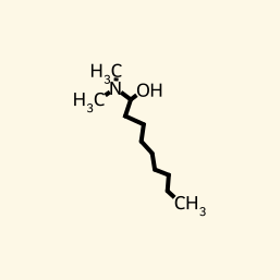 CCCCCCCCC(O)N(C)C